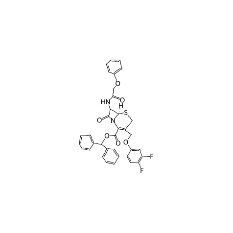 O=C(COc1ccccc1)NC1C(=O)N2C(C(=O)OC(c3ccccc3)c3ccccc3)=C(COc3ccc(F)c(F)c3)CS[C@H]12